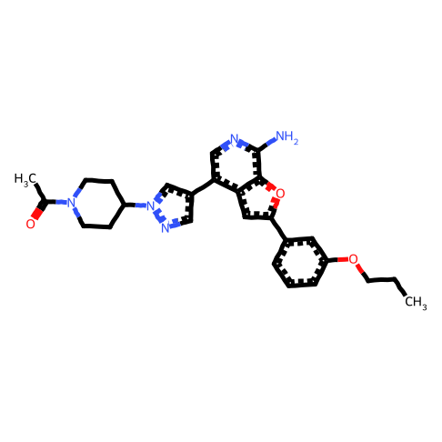 CCCOc1cccc(-c2cc3c(-c4cnn(C5CCN(C(C)=O)CC5)c4)cnc(N)c3o2)c1